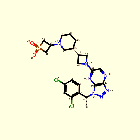 C[C@H](c1ccc(Cl)cc1Cl)n1nnc2ncc(N3CC([C@H]4CCCN(C5CS(=O)(=O)C5)C4)C3)nc21